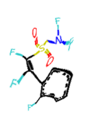 O=S(=O)(C(F)=C(F)c1ccccc1F)N(F)F